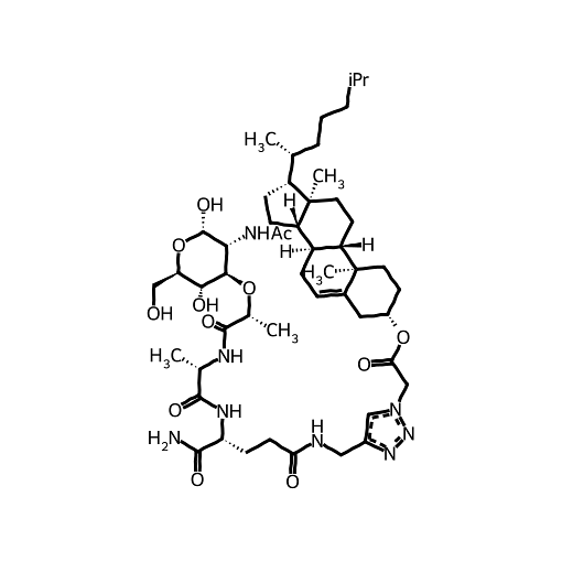 CC(=O)N[C@@H]1[C@@H](O[C@H](C)C(=O)N[C@@H](C)C(=O)N[C@H](CCC(=O)NCc2cn(CC(=O)O[C@H]3CC[C@@]4(C)C(=CC[C@H]5[C@@H]6CC[C@H]([C@H](C)CCCC(C)C)[C@@]6(C)CC[C@@H]54)C3)nn2)C(N)=O)[C@H](O)[C@@H](CO)O[C@@H]1O